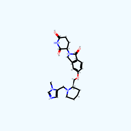 Cn1cncc1CN1CCCC[C@@H]1COc1ccc2c(c1)CN(C1CCC(=O)NC1=O)C2=O